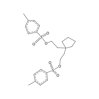 Cc1ccc(S(=O)(=O)OCCC2(CCOS(=O)(=O)c3ccc(C)cc3)CCCC2)cc1